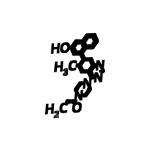 C=CC(=O)N1CCN(c2ncnc3c2CC(C)C(c2cc(O)cc4ccccc24)C3)CC1